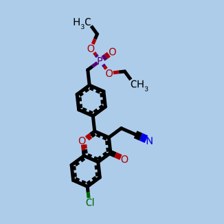 CCOP(=O)(Cc1ccc(-c2oc3ccc(Cl)cc3c(=O)c2CC#N)cc1)OCC